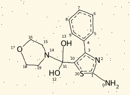 Nc1nc(-c2ccccc2)c(C(O)(O)N2CCOCC2)s1